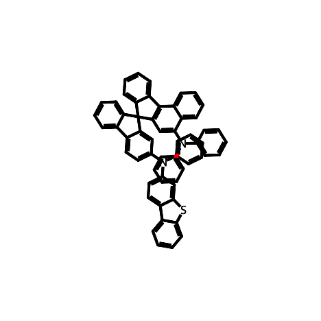 c1ccc(N(c2ccc3c(c2)C2(c4ccccc4-3)c3ccccc3-c3c2cc(N(c2ccccc2)c2ccccc2)c2ccccc32)c2ccc3c(c2)sc2ccccc23)cc1